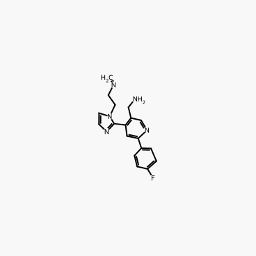 C=NCCn1ccnc1-c1cc(-c2ccc(F)cc2)ncc1CN